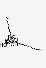 CCCCCCCCCCCCCCCCC(CCCCCCCCCCCC(C)C)(C(=O)O)C(O)(CC(=O)O)C(=O)O